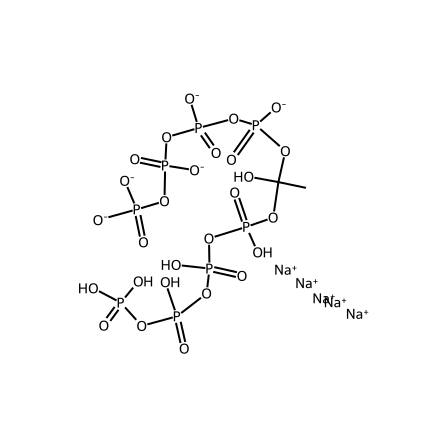 CC(O)(OP(=O)([O-])OP(=O)([O-])OP(=O)([O-])OP(=O)([O-])[O-])OP(=O)(O)OP(=O)(O)OP(=O)(O)OP(=O)(O)O.[Na+].[Na+].[Na+].[Na+].[Na+]